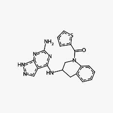 Nc1nc(NC2Cc3ccccc3N(C(=O)c3cccs3)C2)c2cn[nH]c2n1